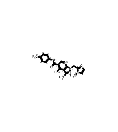 Cc1nn(Cc2nccn2C)c2ncc(C(=O)Nc3ccc(C(F)(F)F)cc3)c(Cl)c12